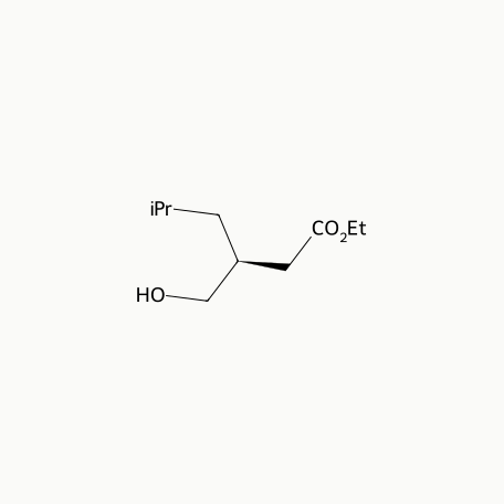 CCOC(=O)C[C@@H](CO)CC(C)C